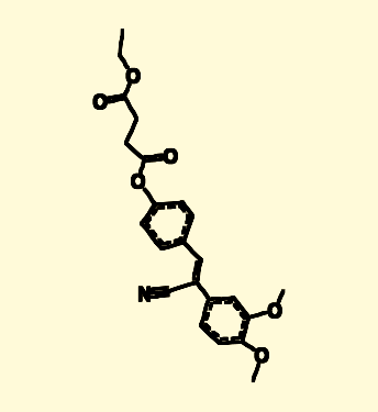 CCOC(=O)CCC(=O)Oc1ccc(C=C(C#N)c2ccc(OC)c(OC)c2)cc1